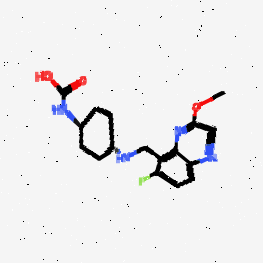 COc1cnc2ccc(F)c(CN[C@H]3CC[C@H](NC(=O)O)CC3)c2n1